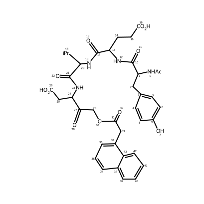 CC(=O)NC(Cc1ccc(O)cc1)C(=O)NC(CCC(=O)O)C(=O)NC(C(=O)NC(CC(=O)O)C(=O)COC(=O)Cc1cccc2ccccc12)C(C)C